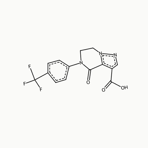 O=C(O)c1cnn2c1C(=O)N(c1ccc(C(F)(F)F)cc1)CC2